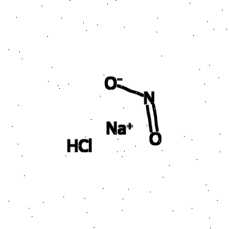 Cl.O=N[O-].[Na+]